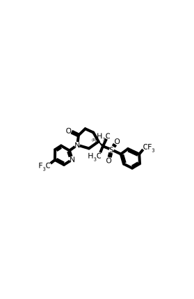 CC(C)([C@@H]1CCC(=O)N(c2ccc(C(F)(F)F)cn2)C1)S(=O)(=O)c1cccc(C(F)(F)F)c1